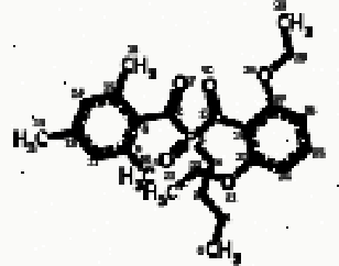 CCCCP(=O)(C(=O)c1c(C)cc(C)cc1C)C(=O)c1c(OCC)cccc1OCC